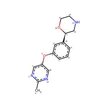 Cc1ncc(Oc2cccc([C@@H]3CNCCO3)c2)cn1